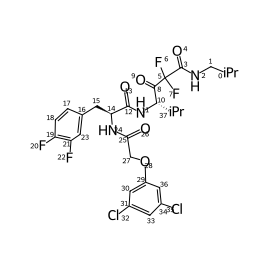 CC(C)CNC(=O)C(F)(F)C(=O)[C@@H](NC(=O)[C@H](Cc1ccc(F)c(F)c1)NC(=O)COc1cc(Cl)cc(Cl)c1)C(C)C